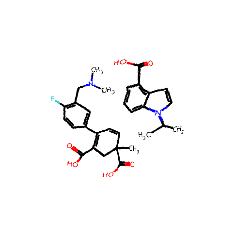 CC(C)n1ccc2c(C(=O)O)cccc21.CN(C)Cc1cc(C2=C(C(=O)O)CC(C)(C(=O)O)C=C2)ccc1F